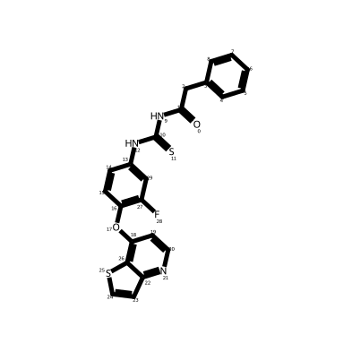 O=C(Cc1ccccc1)NC(=S)Nc1ccc(Oc2ccnc3ccsc23)c(F)c1